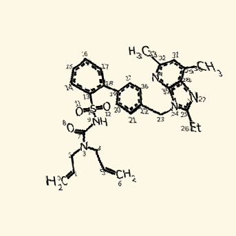 C=CCN(CC=C)C(=O)NS(=O)(=O)c1ccccc1-c1ccc(Cn2c(CC)nc3c(C)cc(C)nc32)cc1